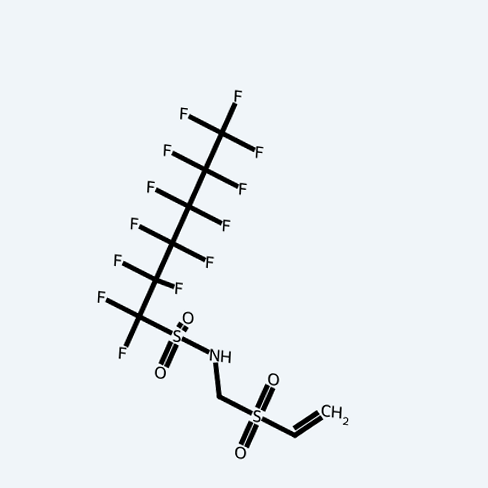 C=CS(=O)(=O)CNS(=O)(=O)C(F)(F)C(F)(F)C(F)(F)C(F)(F)C(F)(F)C(F)(F)F